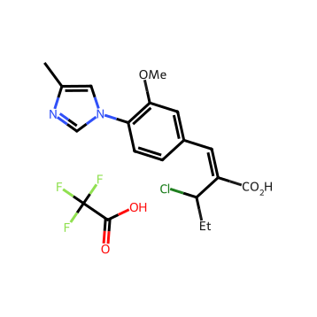 CCC(Cl)C(=Cc1ccc(-n2cnc(C)c2)c(OC)c1)C(=O)O.O=C(O)C(F)(F)F